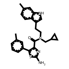 Cc1cccc(-c2sc(N)nc2C(=O)N(CCc2c[nH]c3cc(C)ccc23)CC2CC2)c1